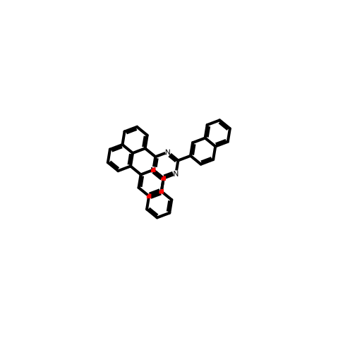 c1ccc(-c2nc(-c3ccc4ccccc4c3)nc(-c3cccc4cccc(-c5ccccc5)c34)n2)cc1